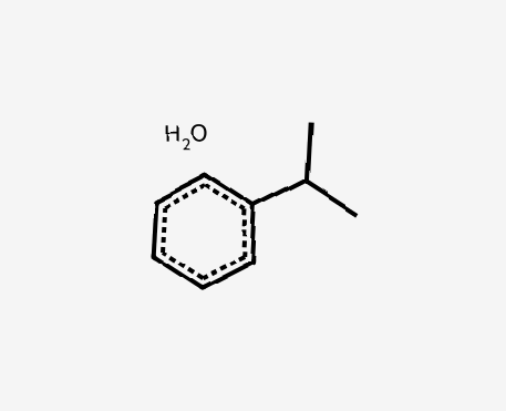 CC(C)c1ccccc1.O